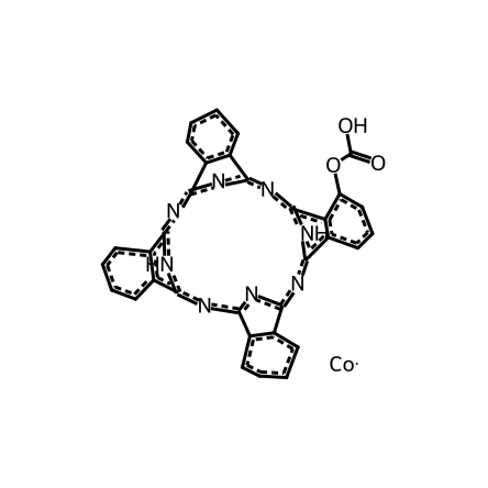 O=C(O)Oc1cccc2c3nc4nc(nc5[nH]c(nc6nc(nc([nH]3)c12)-c1ccccc1-6)c1ccccc51)-c1ccccc1-4.[Co]